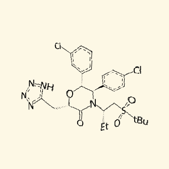 CC[C@@H](CS(=O)(=O)C(C)(C)C)N1C(=O)[C@H](Cc2nnn[nH]2)O[C@H](c2cccc(Cl)c2)[C@H]1c1ccc(Cl)cc1